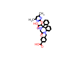 Cc1cc(C)nc(OC(C(=O)O)C2(c3ccccc3)NCC(=O)N(Cc3ccc(C(=O)O)cc3)c3ccccc32)n1